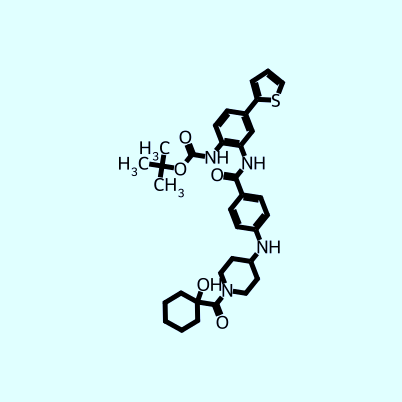 CC(C)(C)OC(=O)Nc1ccc(-c2cccs2)cc1NC(=O)c1ccc(NC2CCN(C(=O)C3(O)CCCCC3)CC2)cc1